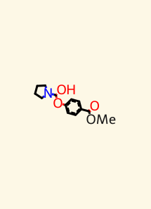 COC(=O)c1ccc(OC(O)N2CCCC2)cc1